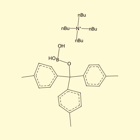 CCCC[N+](CCCC)(CCCC)CCCC.Cc1ccc(C(OB(O)O)(c2ccc(C)cc2)c2ccc(C)cc2)cc1